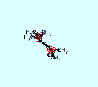 CCCCOC(COCC)(OCCCC)OC(=O)CCCCCCCCC(=O)OC(COCC)(OCCCC)OCCCC